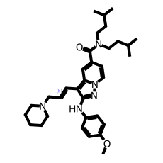 COc1ccc(Nc2nn3ccc(C(=O)N(CCC(C)C)CCC(C)C)cc3c2/C=C/CN2CCCCC2)cc1